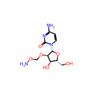 NOCO[C@@H]1[C@H](O)[C@@H](CO)O[C@H]1n1ccc(N)nc1=O